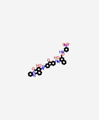 O=C1c2cc(N=Nc3c(O)c(CONc4cccc([N+](=O)[O-])c4)cc4ccccc34)ccc2-c2ccc(N=Nc3c(O)cc4c(=O)n5c6ccccc6nc5c5cccc3c45)cc21